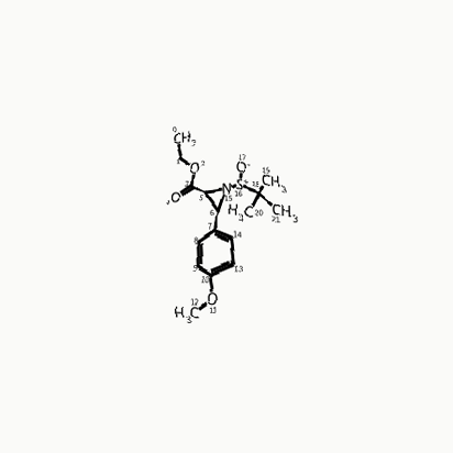 CCOC(=O)[C@@H]1[C@H](c2ccc(OC)cc2)N1[S+]([O-])C(C)(C)C